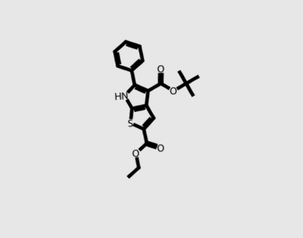 CCOC(=O)c1cc2c(C(=O)OC(C)(C)C)c(-c3ccccc3)[nH]c2s1